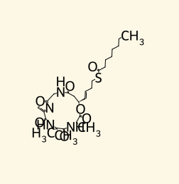 CCCCCCCC(=O)SCC/C=C/[C@@H]1CC(=O)NCc2nc(co2)C(=O)NC(C)(C)C(=O)N[C@@H](C)C(=O)O1